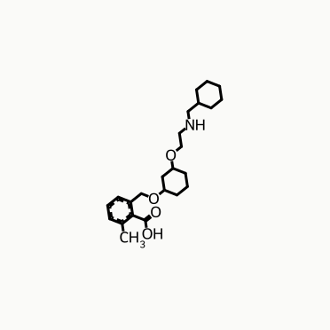 Cc1cccc(COC2CCCC(OCCNCC3CCCCC3)C2)c1C(=O)O